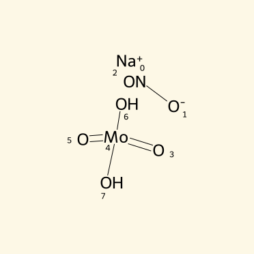 O=N[O-].[Na+].[O]=[Mo](=[O])([OH])[OH]